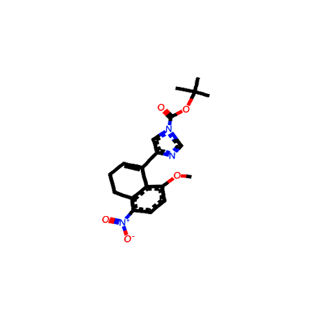 COc1ccc([N+](=O)[O-])c2c1C(c1cn(C(=O)OC(C)(C)C)cn1)=CCC2